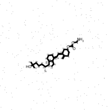 C=C1CC[C@H](OC(=O)OCN)C/C1=C/C=C1\CCC[C@@]2(C)C1CC[C@@H]2[C@H](C)CCCC(C)(C)O